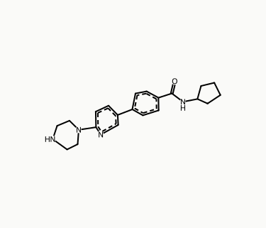 O=C(NC1CCCC1)c1ccc(-c2ccc(N3CCNCC3)nc2)cc1